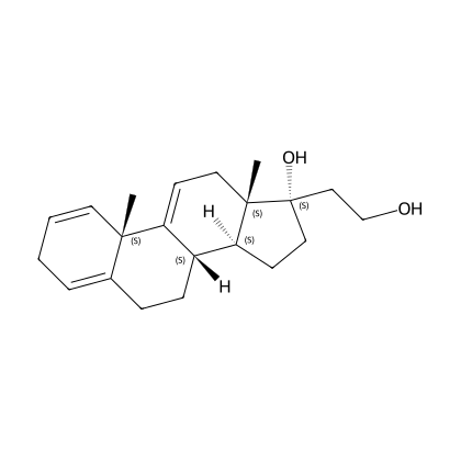 C[C@]12C=CCC=C1CC[C@@H]1C2=CC[C@@]2(C)[C@H]1CC[C@]2(O)CCO